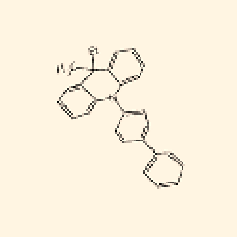 CCC1(C)c2ccccc2N(c2ccc(-c3ccccc3)cc2)c2ccccc21